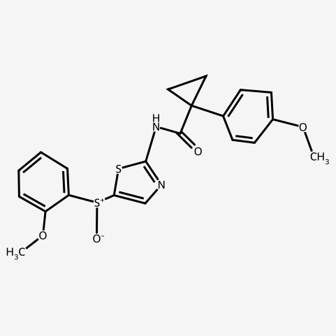 COc1ccc(C2(C(=O)Nc3ncc([S+]([O-])c4ccccc4OC)s3)CC2)cc1